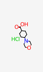 Cl.O=C(O)C1CCC(N2CCOCC2)CC1